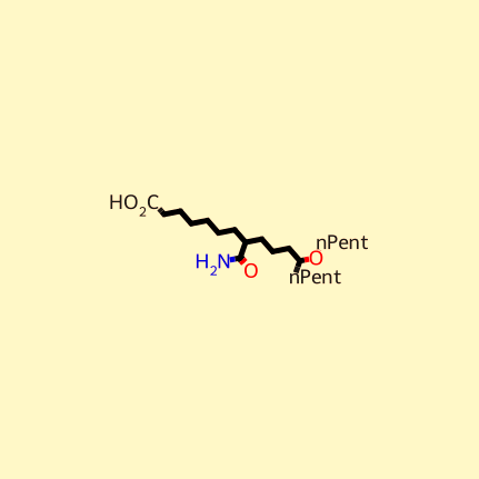 CCCCCOC(CCCCC)CCCC(CCCCCCC(=O)O)C(N)=O